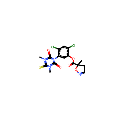 Cn1c(=S)n(C)c(=O)n(-c2cc(OC(=O)C3(C)CC=NO3)c(Cl)cc2Cl)c1=O